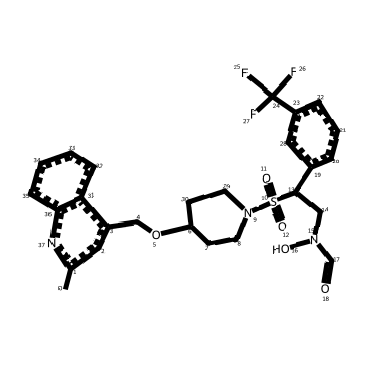 Cc1cc(COC2CCN(S(=O)(=O)C(CN(O)C=O)c3cccc(C(F)(F)F)c3)CC2)c2ccccc2n1